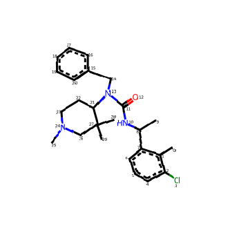 Cc1c(Cl)cccc1C(C)NC(=O)N(Cc1ccccc1)C1CCN(C)CC1(C)C